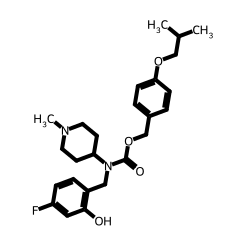 CC(C)COc1ccc(COC(=O)N(Cc2ccc(F)cc2O)C2CCN(C)CC2)cc1